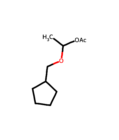 CC(=O)OC(C)OCC1CCCC1